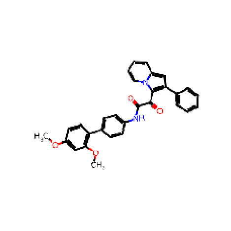 COc1ccc(-c2ccc(NC(=O)C(=O)c3c(-c4ccccc4)cc4ccccn34)cc2)c(OC)c1